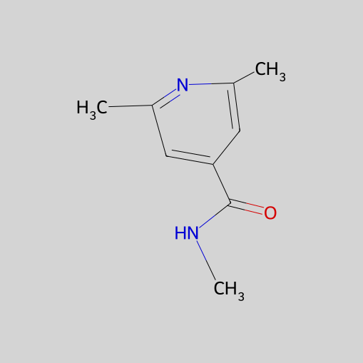 CNC(=O)c1cc(C)nc(C)c1